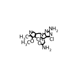 COc1c(C)ncc(CN2C[C@H](CC(N)=O)c3c(Cl)nc(N)nc32)c1C